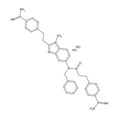 Cl.Cl.Cn1c(CCc2ccc(C(=N)N)cc2)nc2cc(N(Cc3ccccc3)C(=O)CCc3ccc(C(=N)N)cc3)ccc21